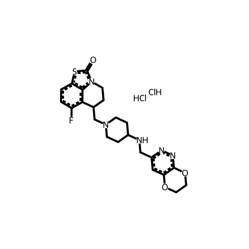 Cl.Cl.O=c1sc2ccc(F)c3c2n1CCC3CN1CCC(NCc2cc3c(nn2)OCCO3)CC1